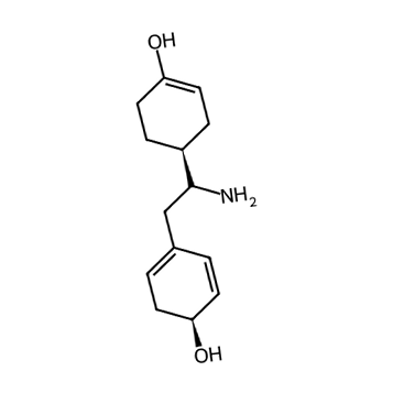 NC(CC1=CC[C@H](O)C=C1)[C@@H]1CC=C(O)CC1